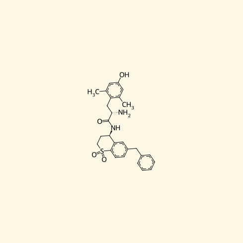 Cc1cc(O)cc(C)c1C[C@H](N)C(=O)N[C@@H]1CCS(=O)(=O)c2ccc(Cc3ccccc3)cc21